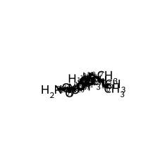 CC(C)CCC[C@@H](C)[C@H]1CC[C@H]2[C@@H]3CC=C4C[C@@H](ONC(=O)OCCN)CC[C@]4(C)[C@H]3CC[C@]12C